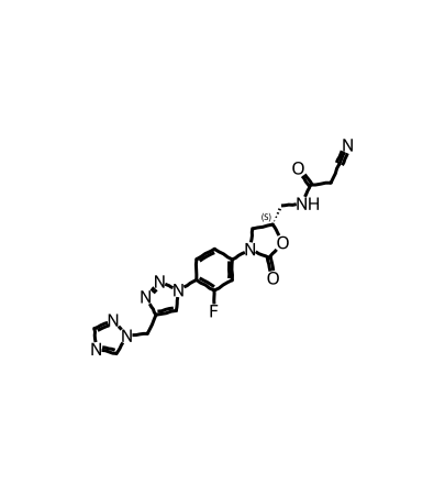 N#CCC(=O)NC[C@H]1CN(c2ccc(-n3cc(Cn4cncn4)nn3)c(F)c2)C(=O)O1